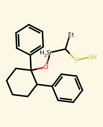 CCC([SiH2]OC1(c2ccccc2)CCCCC1c1ccccc1)SS